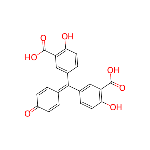 O=C1C=CC(=C(c2ccc(O)c(C(=O)O)c2)c2ccc(O)c(C(=O)O)c2)C=C1